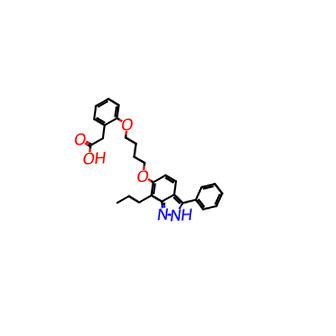 CCCc1c(OCCCCOc2ccccc2CC(=O)O)ccc2c(-c3ccccc3)[nH]nc12